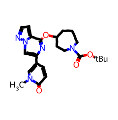 Cn1cc(-c2cn3nccc3c(OC3CCCN(C(=O)OC(C)(C)C)CC3)n2)ccc1=O